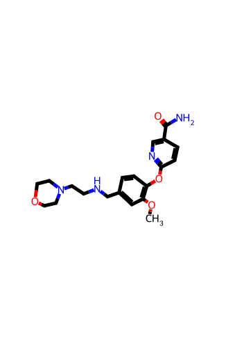 COc1cc(CNCCN2CCOCC2)ccc1Oc1ccc(C(N)=O)cn1